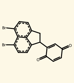 O=C1C=CC(=O)C(C2Cc3ccc(Br)c4c(Br)ccc2c34)=C1